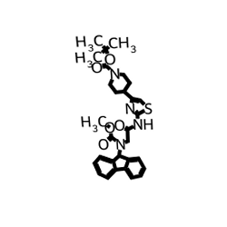 COC(=O)N(CC(=O)Nc1nc(C2CCN(C(=O)OC(C)(C)C)CC2)cs1)C1c2ccccc2-c2ccccc21